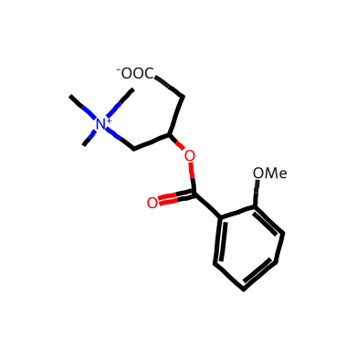 COc1ccccc1C(=O)OC(CC(=O)[O-])C[N+](C)(C)C